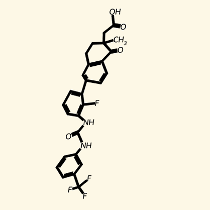 CC1(CC(=O)O)CCc2cc(-c3cccc(NC(=O)Nc4cccc(C(F)(F)F)c4)c3F)ccc2C1=O